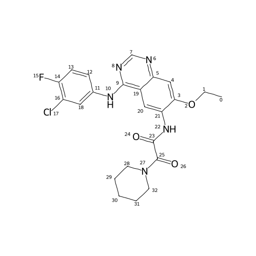 CCOc1cc2ncnc(Nc3ccc(F)c(Cl)c3)c2cc1NC(=O)C(=O)N1CCCCC1